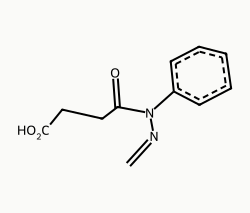 C=NN(C(=O)CCC(=O)O)c1ccccc1